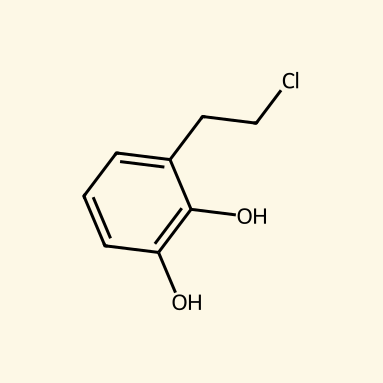 Oc1cccc(CCCl)c1O